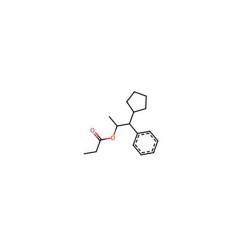 CCC(=O)OC(C)C(c1ccccc1)C1CCCC1